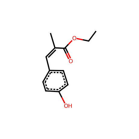 CCOC(=O)C(C)=Cc1ccc(O)cc1